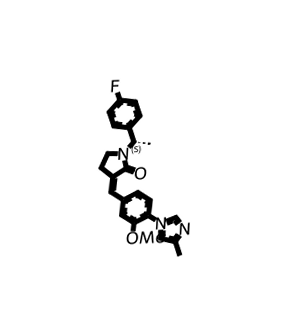 COc1cc(C=C2CCN([C@@H](C)c3ccc(F)cc3)C2=O)ccc1-n1cnc(C)c1